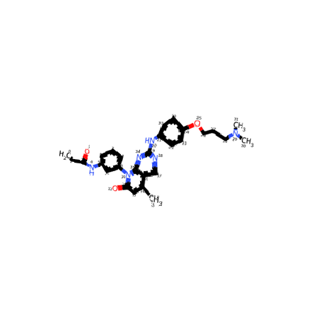 C=CC(=O)Nc1cccc(-n2c(=O)cc(C)c3cnc(Nc4ccc(OCCCN(C)C)cc4)nc32)c1